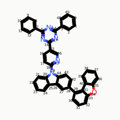 c1ccc(-c2nc(-c3ccccc3)nc(-c3ccc(-n4c5ccccc5c5cc(-c6cccc7oc8ccccc8c67)ccc54)nc3)n2)cc1